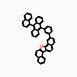 c1cc(-c2ccc3ccc4c(oc5ccc6ccccc6c54)c3c2)cc(-c2c3ccccc3c(-c3cccc4ccccc34)c3ccccc23)c1